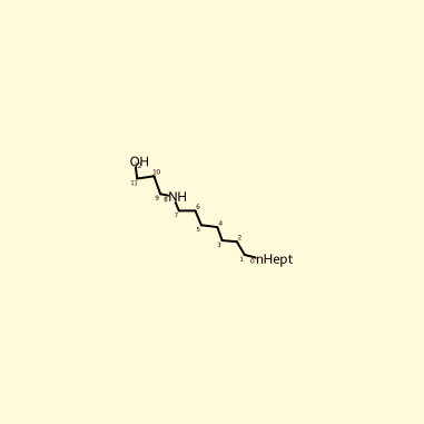 CCCCCCCCCCCCCCNCCCO